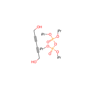 CC(C)OP(=O)(OC(C)C)OP(=O)(OC(C)C)OC(C)C.OCC#CC#CCO